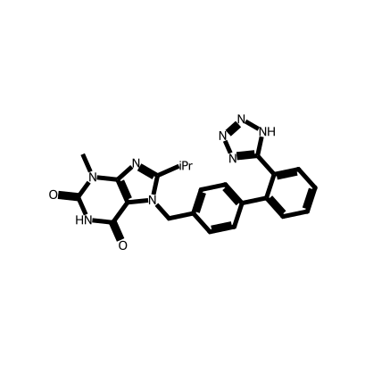 CC(C)c1nc2c(c(=O)[nH]c(=O)n2C)n1Cc1ccc(-c2ccccc2-c2nnn[nH]2)cc1